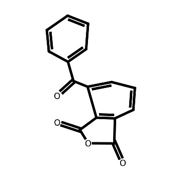 O=C1OC(=O)c2c1cccc2C(=O)c1ccccc1